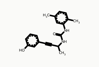 Cc1ccc(C)c(NC(=O)NC(C)C#Cc2cccc(O)c2)c1